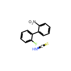 N=C=S.O=[N+]([O-])c1ccccc1-c1ccccc1F